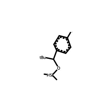 [CH2]c1ccc(C(O[SiH](C)C)C(C)(C)C)cc1